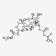 C=C(I)C[C@H](Cl)CC[C@]12CC(O)[C@H](C1)C1O[C@H]3CC[C@H](CC(=O)OC)O[C@@H]3[C@H](O2)C1C